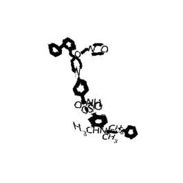 Cc1cc(S(=O)(=O)NC(=O)c2ccc(N3CCC(Cc4ccccc4-c4ccccc4)(OCCN4CCOCC4)CC3)cc2)ccc1NC(C)(C)CSc1ccccc1